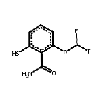 NC(=O)c1c(S)cccc1OC(F)F